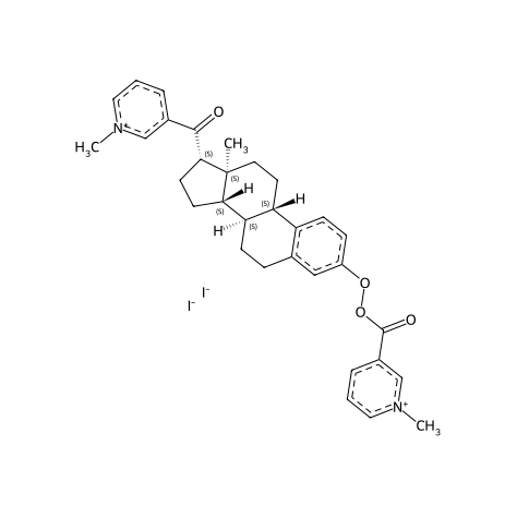 C[n+]1cccc(C(=O)OOc2ccc3c(c2)CC[C@@H]2[C@@H]3CC[C@]3(C)[C@@H](C(=O)c4ccc[n+](C)c4)CC[C@@H]23)c1.[I-].[I-]